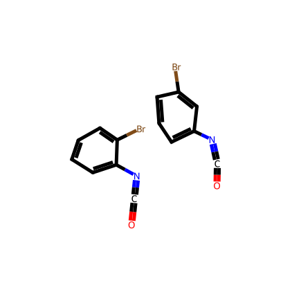 O=C=Nc1cccc(Br)c1.O=C=Nc1ccccc1Br